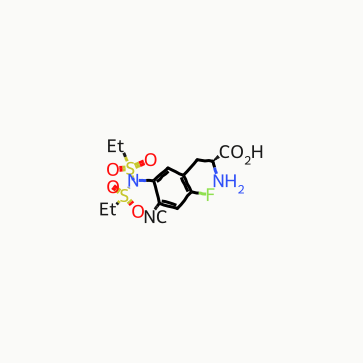 CCS(=O)(=O)N(c1cc(C[C@H](N)C(=O)O)c(F)cc1C#N)S(=O)(=O)CC